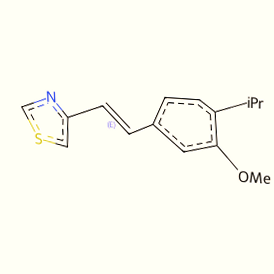 COc1cc(/C=C/c2cscn2)ccc1C(C)C